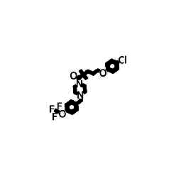 CC(C)(CCCOc1ccc(Cl)cc1)C(=O)N1CCN(Cc2ccc(OC(F)(F)F)cc2)CC1